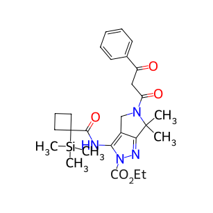 CCOC(=O)n1nc2c(c1NC(=O)C1([Si](C)(C)C)CCC1)CN(C(=O)CC(=O)c1ccccc1)C2(C)C